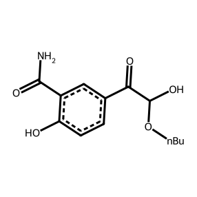 CCCCOC(O)C(=O)c1ccc(O)c(C(N)=O)c1